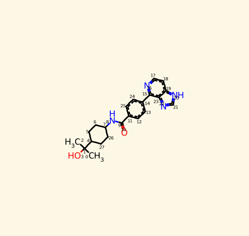 CC(C)(O)C1CCC(NC(=O)c2ccc(-c3nccc4[nH]cnc34)cc2)CC1